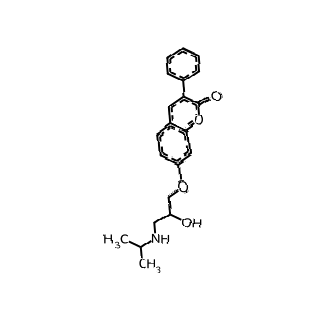 CC(C)NCC(O)COc1ccc2cc(-c3ccccc3)c(=O)oc2c1